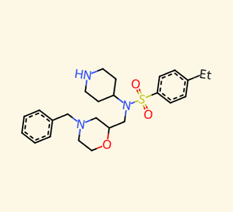 CCc1ccc(S(=O)(=O)N(CC2CN(Cc3ccccc3)CCO2)C2CCNCC2)cc1